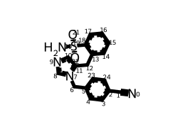 N#Cc1ccc(Cn2cncc2Cc2ccccc2S(N)(=O)=O)cc1